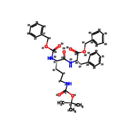 CC(C)(C)OC(=O)NCCC[C@H](NC(=O)OCc1ccccc1)C(=O)N[C@@H](Cc1ccccc1)C(=O)OCc1ccccc1